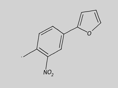 [CH2]c1ccc(-c2ccco2)cc1[N+](=O)[O-]